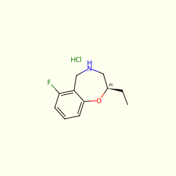 CC[C@@H]1CNCc2c(F)cccc2O1.Cl